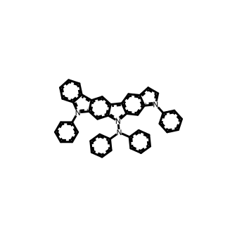 c1ccc(N(c2ccccc2)n2c3cc4c(ccn4-c4ccccc4)cc3c3cc4c5ccccc5n(-c5ccccc5)c4cc32)cc1